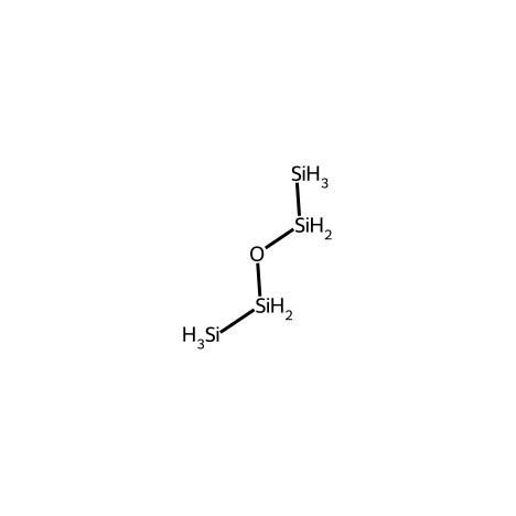 [SiH3][SiH2]O[SiH2][SiH3]